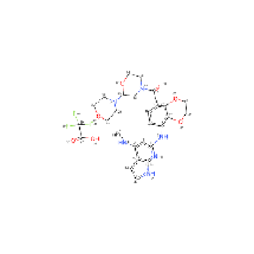 CCCNc1cc(Nc2ccc(C(=O)N3CCOC(N4CCOCC4)C3)c3c2OCCO3)nc2[nH]ccc12.O=C(O)C(F)(F)F